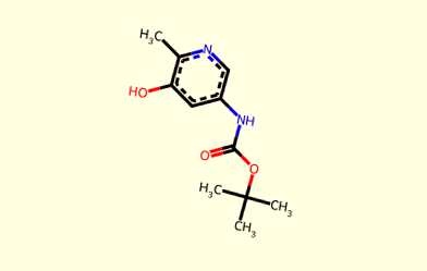 Cc1ncc(NC(=O)OC(C)(C)C)cc1O